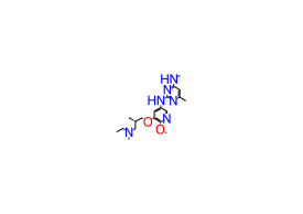 CCN(C)C[C@@H](C)COc1cc(Nc2nc(C)cc(NC)n2)cnc1OC